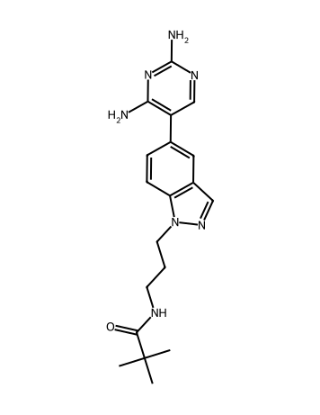 CC(C)(C)C(=O)NCCCn1ncc2cc(-c3cnc(N)nc3N)ccc21